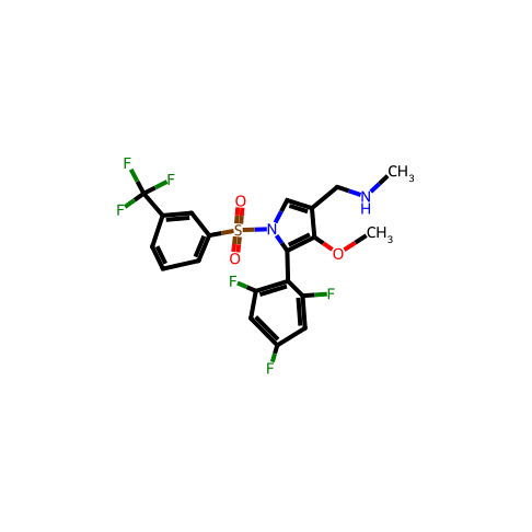 CNCc1cn(S(=O)(=O)c2cccc(C(F)(F)F)c2)c(-c2c(F)cc(F)cc2F)c1OC